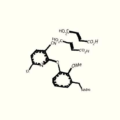 CCc1ccc(C#N)c(Oc2cccc(CNC)c2OC)n1.O=C(O)C=CC(=O)O.O=C(O)C=CC(=O)O